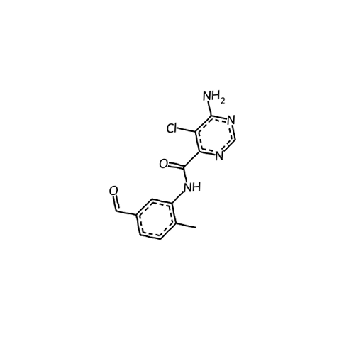 Cc1ccc(C=O)cc1NC(=O)c1ncnc(N)c1Cl